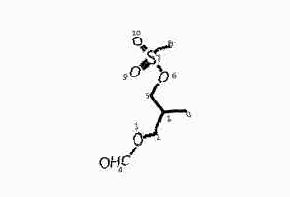 CC(COC=O)COS(C)(=O)=O